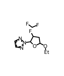 CCOC1CC(F)C(n2nccn2)O1.FCF